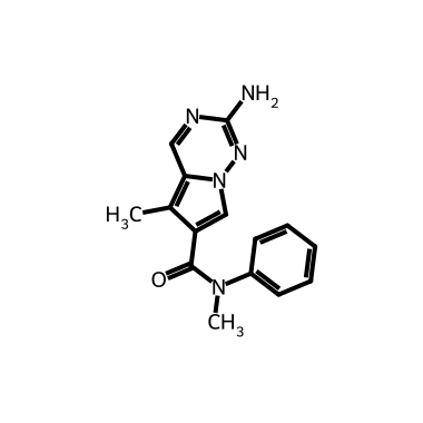 Cc1c(C(=O)N(C)c2ccccc2)cn2nc(N)ncc12